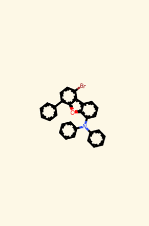 Brc1ccc(-c2ccccc2)c2oc3c(N(c4ccccc4)c4ccccc4)cccc3c12